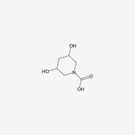 O=C(O)N1CC(O)CC(O)C1